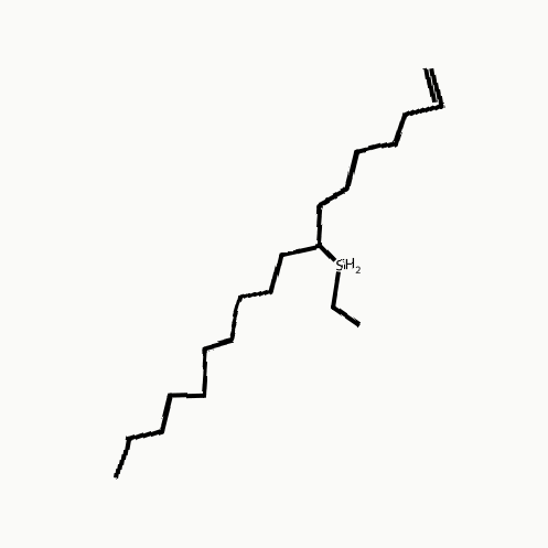 C=CCCCCCC(CCCCCCCCCC)[SiH2]CC